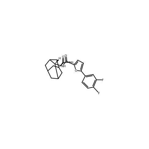 NC(=O)[C@]12CC3CC(C1)[C@@H](NC(=O)c1ccc(-c4ccc(F)c(F)c4)o1)C(C3)C2